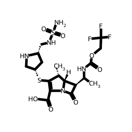 CC(NC(=O)OCC(F)(F)F)[C@H]1C(=O)N2C(C(=O)O)=C(S[C@@H]3CN[C@H](CNS(N)(=O)=O)C3)[C@H](C)[C@H]12